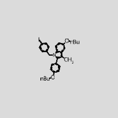 CCCCOc1ccc(-c2c(C)c3cc(OCCCC)ccc3n2Cc2ccc(I)cc2)cc1